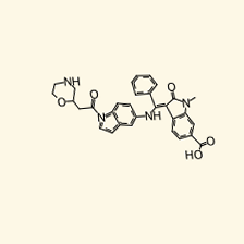 CN1C(=O)C(=C(Nc2ccc3c(ccn3C(=O)CC3CNCCO3)c2)c2ccccc2)c2ccc(C(=O)O)cc21